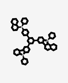 c1ccc(N(c2ccc(-c3cc(-c4ccc5c(c4)c4ccccc4n5-c4ccccc4)cc(-c4ccc5c(c4)c4ccc6ccccc6c4n5-c4ccccc4)c3)cc2)c2cccc3ccccc23)cc1